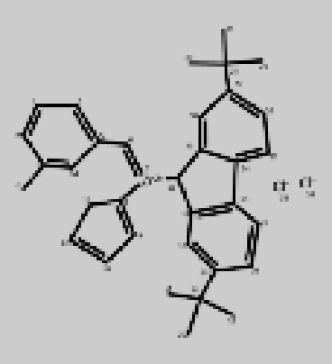 Cc1cccc(/[CH]=[Zr+2](\[C]2=CC=CC2)[CH]2c3cc(C(C)(C)C)ccc3-c3ccc(C(C)(C)C)cc32)c1.[Cl-].[Cl-]